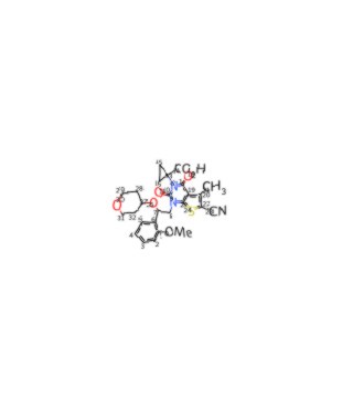 COc1ccccc1C(Cn1c(=O)n(C2(C(=O)O)CC2)c(=O)c2c(C)c(C#N)sc21)OC1CCOCC1